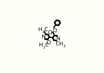 C=Cc1cc(-c2cc(C)ncc2C(=O)OCc2ccccc2)c(OC)cn1